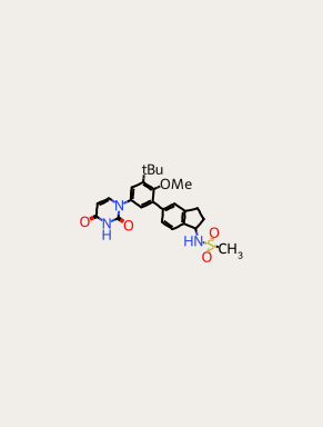 COc1c(-c2ccc3c(c2)CCC3NS(C)(=O)=O)cc(-n2ccc(=O)[nH]c2=O)cc1C(C)(C)C